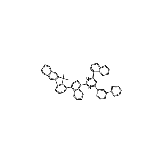 CC1(C)c2cc3ccccc3cc2-c2cccc(-c3ccc(-c4nc(-c5cccc(-c6ccccc6)c5)cc(-c5cccc6ccccc56)n4)c4ccccc34)c21